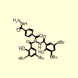 CC(C)(C)c1cc(C(=O)NN(C(=O)c2ccc(C(=O)NN)cc2)C(=O)c2cc(C(C)(C)C)cc(C(C)(C)C)c2O)c(O)c(C(C)(C)C)c1